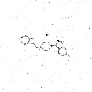 Cl.Fc1ccc2c(N3CCN(C[C@@H]4Cc5ccccc54)CC3)noc2c1